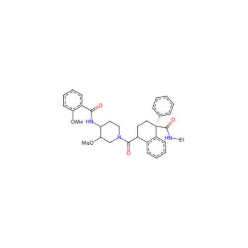 CCNC(=O)[C@]1(c2ccccc2)CCC(C(=O)N2CCC(NC(=O)c3ccccc3OC)C(OC)C2)c2ccccc21